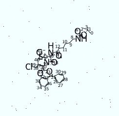 CC(C)(C)OC(=O)NCCCCCC(=O)NC1C(=O)N2C(C(=O)OC(c3ccccc3)c3ccccc3)=C(CCl)C[S+]([O-])C12